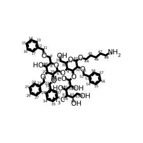 COC(OC1C(OC2OC(COCc3ccccc3)C(O)C(OCc3ccccc3)C2OCc2ccccc2)C(CO)OC(OCCCCCN)C1OCc1ccccc1)C(O)C(O)C(C)[C@H](O)CO